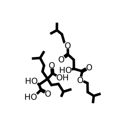 CC(C)CCC(CCC(C)C)(C(=O)O)C(O)C(=O)O.CC(C)CCOC(=O)CC(O)C(=O)OCCC(C)C